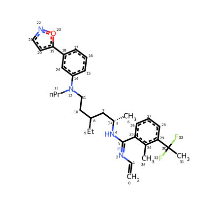 C=C/N=C(/N[C@@H](C)CC(CC)CCN(CCC)c1cccc(-c2ccno2)c1)c1cccc(C(C)(F)F)c1C